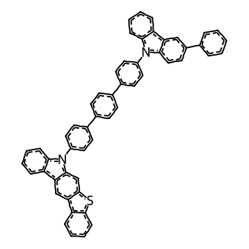 c1ccc(-c2ccc3c(c2)c2ccccc2n3-c2ccc(-c3ccc(-c4ccc(-n5c6ccccc6c6cc7c(cc65)sc5ccccc57)cc4)cc3)cc2)cc1